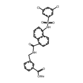 COC(=O)c1cccc(CNC(=O)c2cccc3c(NS(=O)(=O)c4cc(Cl)cc(Cl)c4)cccc23)c1